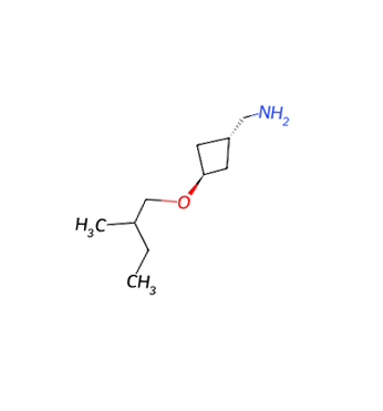 CCC(C)CO[C@H]1C[C@H](CN)C1